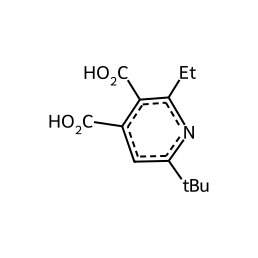 CCc1nc(C(C)(C)C)cc(C(=O)O)c1C(=O)O